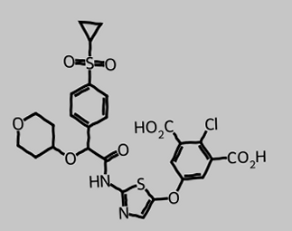 O=C(O)c1cc(Oc2cnc(NC(=O)C(OC3CCOCC3)c3ccc(S(=O)(=O)C4CC4)cc3)s2)cc(C(=O)O)c1Cl